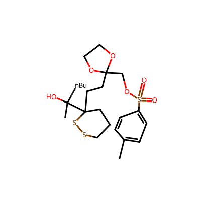 CCCCC(C)(O)C1(CCC2(COS(=O)(=O)c3ccc(C)cc3)OCCO2)CCCSS1